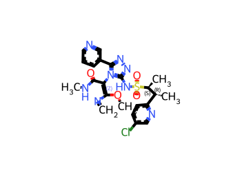 C=N/C(OC)=C(\C(=O)NC)n1c(NS(=O)(=O)[C@@H](C)[C@H](C)c2ccc(Cl)cn2)nnc1-c1cccnc1